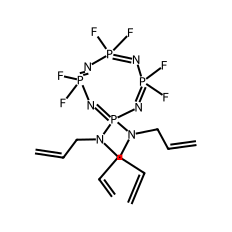 C=CCN(CC=C)P1(N(CC=C)CC=C)=NP(F)(F)=NP(F)(F)=NP(F)(F)=N1